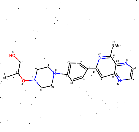 CCC(CO)ON1CCN(c2ccc(-c3cc4nccnc4c(NC)n3)cc2)CC1